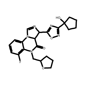 O=C1C2C(c3nc(C4(O)CCCC4)no3)N=CN2c2cccc(F)c2N1CC1CCCO1